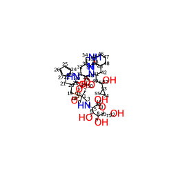 CC(C)(CN[C@H]1[C@@H](O)[C@H](O)[C@@H](CO)O[C@@H]1O)S(=O)(=O)C[C@@H](Cc1ccccc1)C(=O)N[C@@H](Cc1c[nH]cn1)C(=O)N[C@@H](CC1CCCCC1)[C@@H](O)[C@@H](O)C1CC1